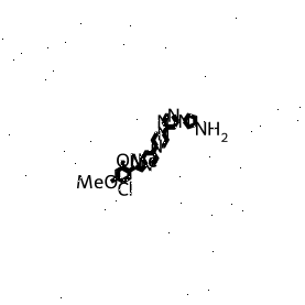 COc1cc(OC)c(-c2cn3ccc(N4CCN(c5cc(N6CCC(N)C6)ncn5)CC4)cc3n2)cc1Cl